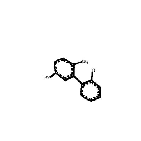 CCCc1ccc(O)c(-c2ccccc2CC)c1